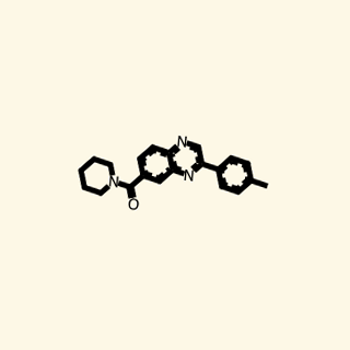 Cc1ccc(-c2cnc3ccc(C(=O)N4CCCCC4)cc3n2)cc1